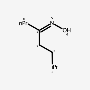 CCCC(CCC(C)C)=NO